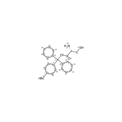 CCCCc1ccc(C(OC(=O)[C@H](N)CS)(c2ccccc2)c2ccccc2)cc1